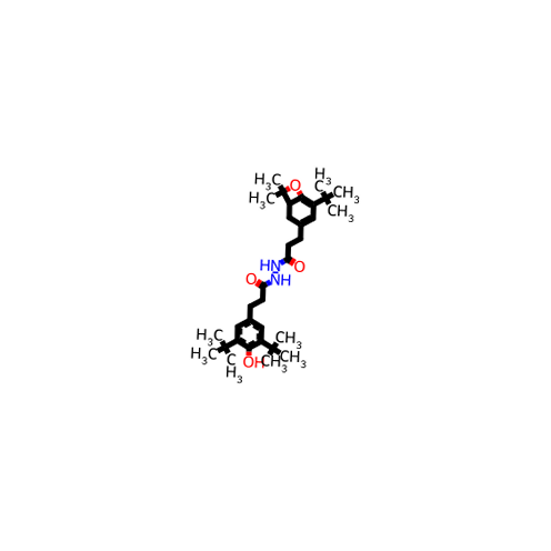 CC(C)(C)C1=C2OC(C)(C)C2CC(CCC(=O)NNC(=O)CCc2cc(C(C)(C)C)c(O)c(C(C)(C)C)c2)=C1